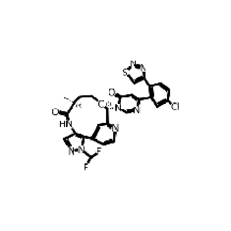 C[C@@H]1CCC[C@H](n2cnc(-c3cc(Cl)ccc3-c3csnn3)cc2=O)c2cc(ccn2)-c2c(cnn2C(F)F)NC1=O